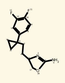 NC1=NC(CCC2(c3ccc(F)c(F)c3)CC2)CO1